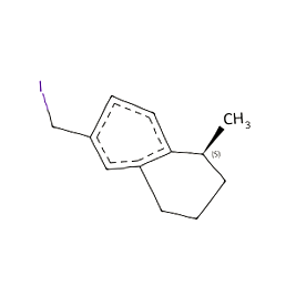 C[C@H]1CCCc2cc(CI)ccc21